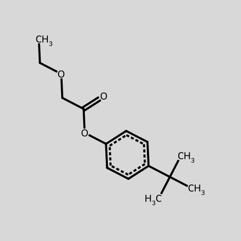 CCOCC(=O)Oc1ccc(C(C)(C)C)cc1